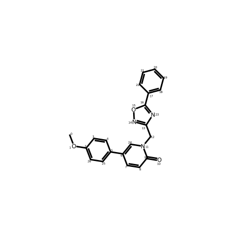 COc1ccc(-c2ccc(=O)n(Cc3noc(-c4ccccc4)n3)c2)cc1